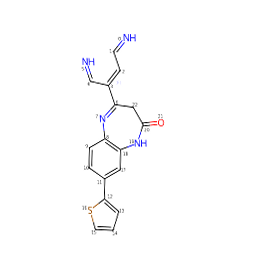 N=C/C=C(\C=N)C1=Nc2ccc(-c3cccs3)cc2NC(=O)C1